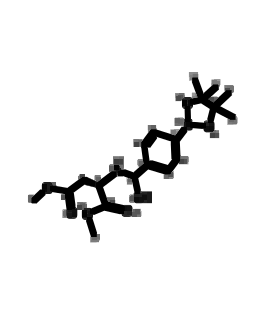 COC(=O)C[C@@H](NC(O)c1ccc(B2OC(C)(C)C(C)(C)O2)cc1)C(=O)OC